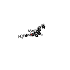 C=C1CC[C@@H](CNCc2ncc(-c3cccc(-c4cccc(-c5cnc(CN6CCC(C7=NCCC=N7)C6)c(OC)n5)c4Cl)c3C)nc2OC)N1